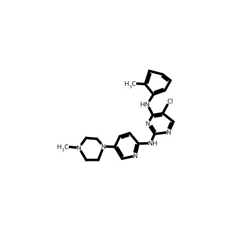 Cc1ccccc1Nc1nc(Nc2ccc(N3CCN(C)CC3)cn2)ncc1Cl